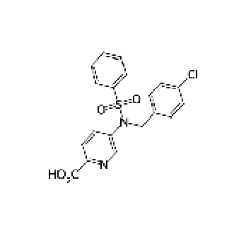 O=C(O)c1ccc(N(Cc2ccc(Cl)cc2)S(=O)(=O)c2ccccc2)cn1